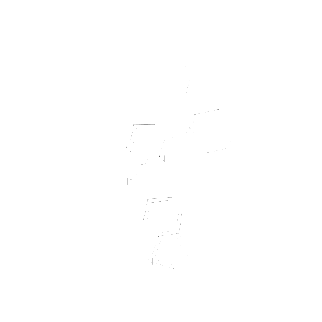 CCCc1cc(N2CCCCC2CCO)nc(Nc2ccc3cc[nH]c3c2)n1.Cl